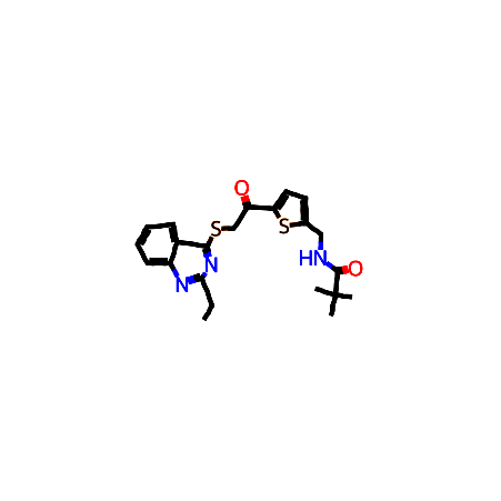 CCc1nc(SCC(=O)c2ccc(CNC(=O)C(C)(C)C)s2)c2ccccc2n1